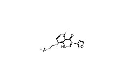 CCCOc1ccc(F)c2c(=O)c(-c3ccoc3)c[nH]c12